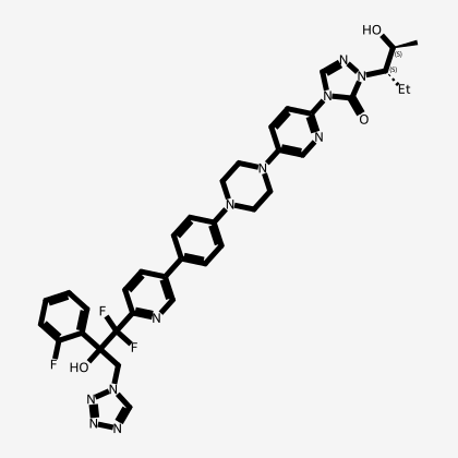 CC[C@@H]([C@H](C)O)n1ncn(-c2ccc(N3CCN(c4ccc(-c5ccc(C(F)(F)C(O)(Cn6cnnn6)c6ccccc6F)nc5)cc4)CC3)cn2)c1=O